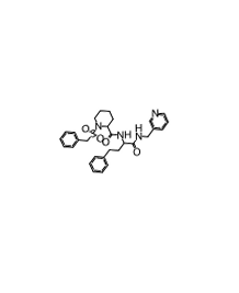 O=C(NCc1cccnc1)C(CCc1ccccc1)NC(=O)C1CCCCN1S(=O)(=O)Cc1ccccc1